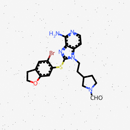 Nc1nccc2c1nc(Sc1cc3c(cc1Br)CCO3)n2CCC1CCN(C=O)C1